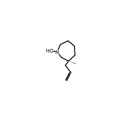 C=CC[C@]1(C)CCCCN(O)C1